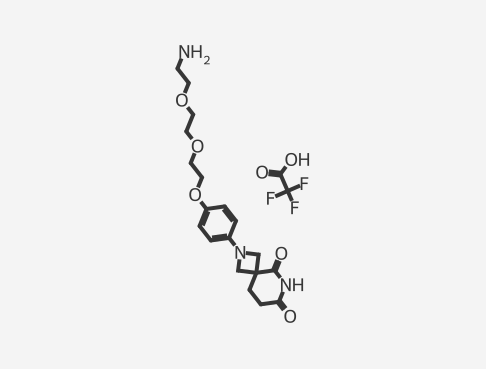 NCCOCCOCCOc1ccc(N2CC3(CCC(=O)NC3=O)C2)cc1.O=C(O)C(F)(F)F